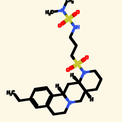 CCc1ccc2c(c1)CCN1C[C@H]3CCCN(S(=O)(=O)CCCNS(=O)(=O)N(C)C)[C@H]3C[C@@H]21